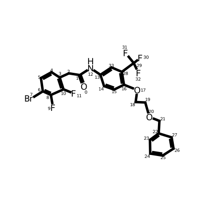 O=C(Cc1ccc(Br)c(F)c1F)Nc1ccc(OCCOCc2ccccc2)c(C(F)(F)F)c1